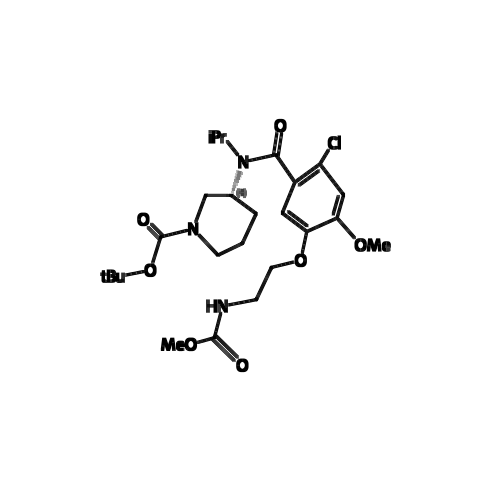 COC(=O)NCCOc1cc(C(=O)N(C(C)C)[C@@H]2CCCN(C(=O)OC(C)(C)C)C2)c(Cl)cc1OC